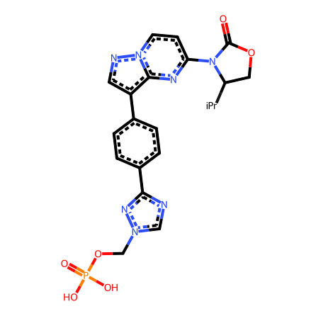 CC(C)C1COC(=O)N1c1ccn2ncc(-c3ccc(-c4ncn(COP(=O)(O)O)n4)cc3)c2n1